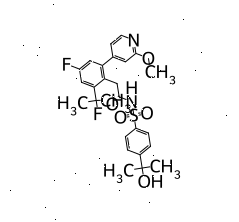 COc1cc(-c2cc(F)cc(C(C)(C)F)c2CC(=O)NS(=O)(=O)c2ccc(C(C)(C)O)cc2)ccn1